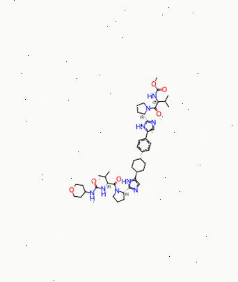 COC(=O)N[C@H](C(=O)N1CCC[C@H]1c1ncc(-c2ccc([C@H]3CC[C@H](c4cnc([C@@H]5CCCN5C(=O)[C@H](NC(=O)NC5CCOCC5)C(C)C)[nH]4)CC3)cc2)[nH]1)C(C)C